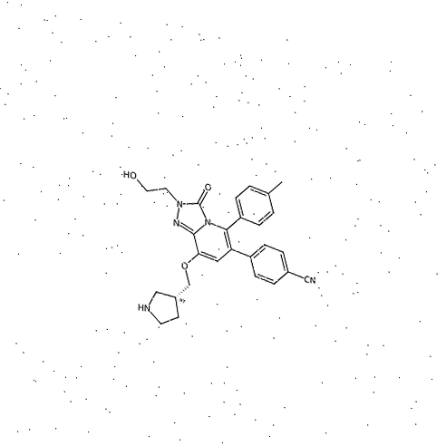 Cc1ccc(-c2c(-c3ccc(C#N)cc3)cc(OC[C@@H]3CCNC3)c3nn(CCO)c(=O)n23)cc1